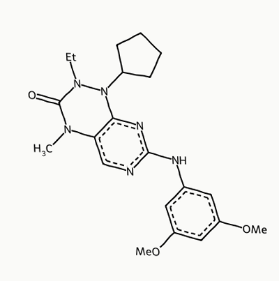 CCN1C(=O)N(C)c2cnc(Nc3cc(OC)cc(OC)c3)nc2N1C1CCCC1